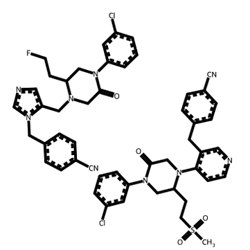 CS(=O)(=O)CCC1CN(c2cccc(Cl)c2)C(=O)CN1c1ccncc1Cc1ccc(C#N)cc1.N#Cc1ccc(Cn2cncc2CN2CC(=O)N(c3cccc(Cl)c3)CC2CCF)cc1